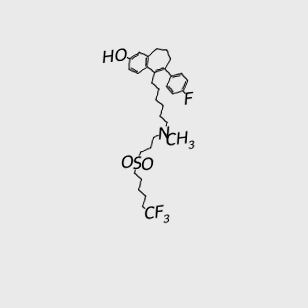 CN(CCCCCCC1=C(c2ccc(F)cc2)CCCc2cc(O)ccc21)CCCS(=O)(=O)CCCCCC(F)(F)F